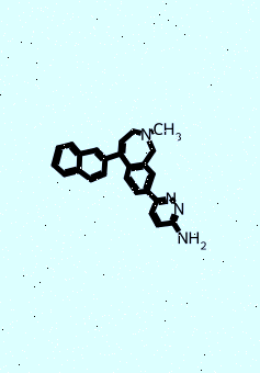 CN1CC=C(c2ccc3ccccc3c2)c2ccc(-c3ccc(N)nn3)cc2C1